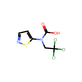 O=C(O)N(CC(Cl)(Cl)Cl)c1ccns1